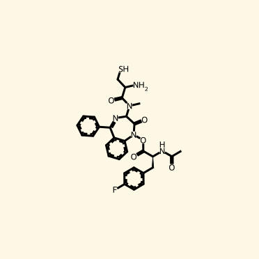 CC(=O)N[C@@H](Cc1ccc(F)cc1)C(=O)ON1C(=O)C(N(C)C(=O)C(N)CS)N=C(c2ccccc2)c2ccccc21